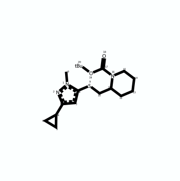 Cn1nc(C2CC2)cc1SCC1CCCCN1C(=O)OC(C)(C)C